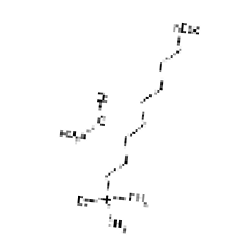 CCCCCCCCCCCCCCCCCC[N+](C)(C)CC.CCOS(=O)(=O)O